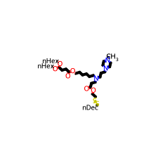 CCCCCCCCCCSSCCOC(=O)CCN(CCCCCCOC(=O)CCC(OCCCCCC)OCCCCCC)CCCN1CCN(C)CC1